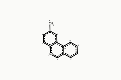 Cc1[c]c2c(cc1)ncc1ccccc12